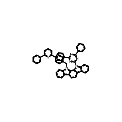 c1ccc(-c2cccc(-c3ccc(Cn4c5ccccc5c5ccc6c7ccccc7n(-c7nc(-c8ccccc8)nc(-c8ccccc8)n7)c6c54)cc3)n2)cc1